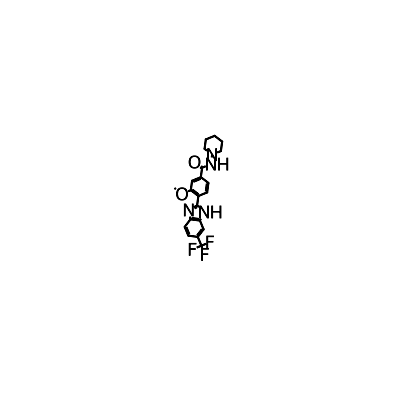 COc1cc(C(=O)NN2CCCCC2)ccc1-c1nc2ccc(C(F)(F)F)cc2[nH]1